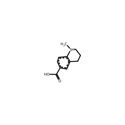 C[SH]1CCCc2cc(C(=O)O)ccc21